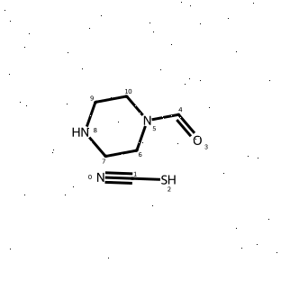 N#CS.O=CN1CCNCC1